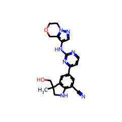 CC1(CO)CNc2c(C#N)cc(-c3ccnc(Nc4cnn5c4COCC5)n3)cc21